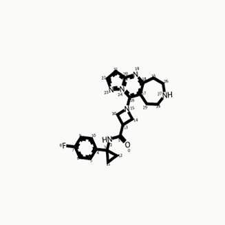 O=C(NC1(c2ccc(F)cc2)CC1)C1CN(c2c3c(nc4ccnn24)CCNCC3)C1